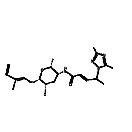 C=C/C(C)=C/C[C@@H]1O[C@H](C)[C@H](NC(=O)/C=C/C(C)n2nc(C)nc2C)C[C@@H]1C